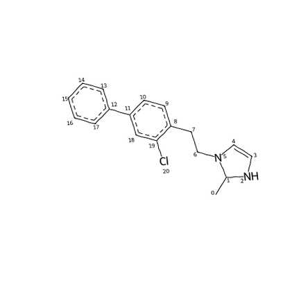 CC1NC=CN1CCc1ccc(-c2ccccc2)cc1Cl